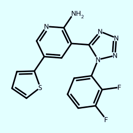 Nc1ncc(-c2cccs2)cc1-c1nnnn1-c1cccc(F)c1F